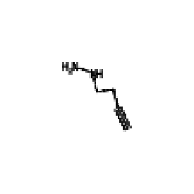 C#CCCNN